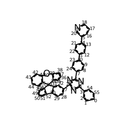 c1ccc(-c2nc(-c3ccc(-c4ccc(-c5cccnc5)cc4)cc3)nc(-c3ccc4c(c3)C3(c5ccccc5Oc5ccccc53)c3ccccc3-4)n2)cc1